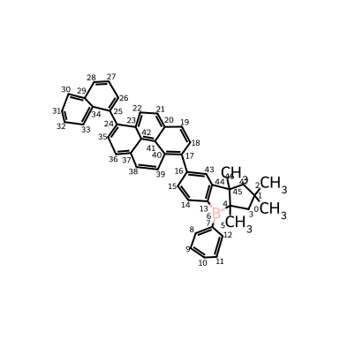 CC1(C)CC2(C)B(c3ccccc3)c3ccc(-c4ccc5ccc6c(-c7cccc8ccccc78)ccc7ccc4c5c76)cc3C2(C)C1